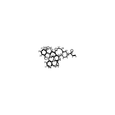 C=CC(=O)N1CCN2c3nc(=O)n(-c4c(C)ccnc4C(C)C)c4nc(-c5c(O)cccc5Cl)c(F)c(c34)OCCC2C1